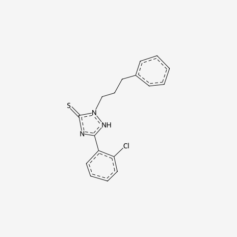 S=c1nc(-c2ccccc2Cl)[nH]n1CCCc1ccccc1